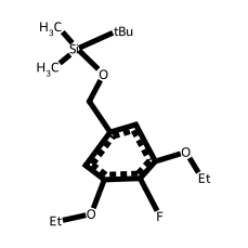 CCOc1cc(CO[Si](C)(C)C(C)(C)C)cc(OCC)c1F